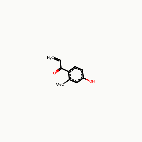 C=CC(=O)c1ccc(O)cc1OC